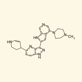 CN1CCN(c2cncc3[nH]c(-c4n[nH]c5ccc(C6C=CNCC6)nc45)cc23)CC1